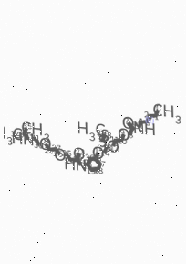 CC/C=C/CNC(=O)COCCOC(COc1cccc(NC(=O)CCOCCOCCNC(C)C)c1)SSC